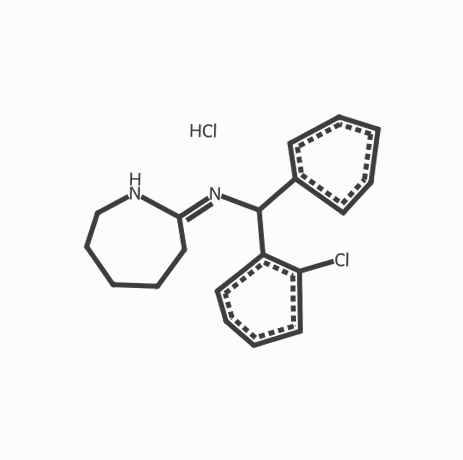 Cl.Clc1ccccc1C(N=C1CCCCCN1)c1ccccc1